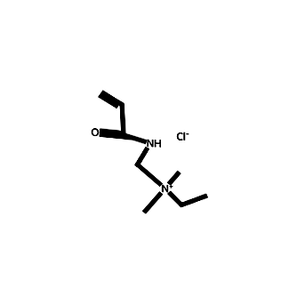 C=CC(=O)NC[N+](C)(C)CC.[Cl-]